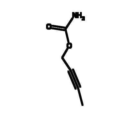 CC#CCOC(N)=O